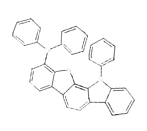 c1ccc(N(c2ccccc2)c2cccc3c2[nH]c2c3ccc3c4ccccc4n(-c4ccccc4)c32)cc1